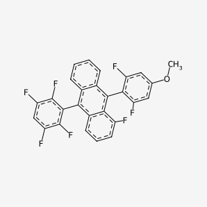 COc1cc(F)c(-c2c3ccccc3c(-c3c(F)c(F)cc(F)c3F)c3cccc(F)c23)c(F)c1